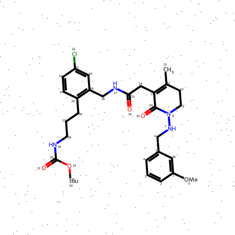 COc1cccc(CNN2CCC(C)=C(CC(=O)NCc3cc(Cl)ccc3CCCNC(=O)OC(C)(C)C)C2=O)c1